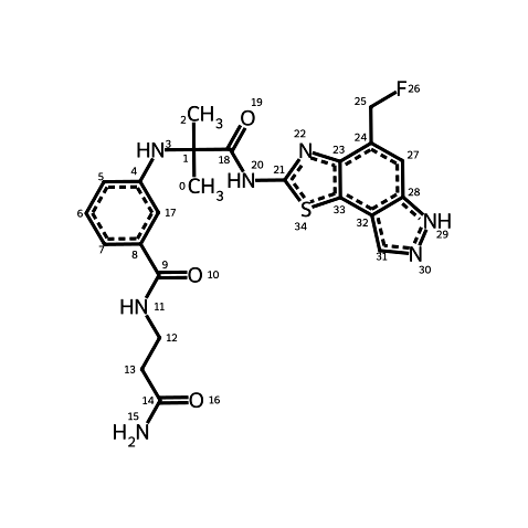 CC(C)(Nc1cccc(C(=O)NCCC(N)=O)c1)C(=O)Nc1nc2c(CF)cc3[nH]ncc3c2s1